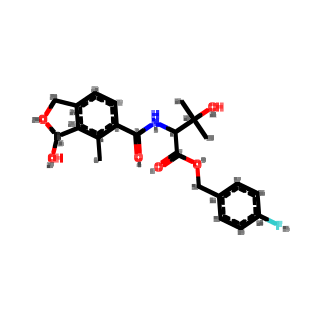 Cc1c(C(=O)NC(C(=O)OCc2ccc(F)cc2)C(C)(C)O)ccc2c1B(O)OC2